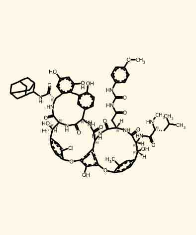 CN[C@H](CC(C)C)C(=O)N[C@H]1C(=O)N[C@@H](CC(=O)NC(=O)Nc2ccc(OC)cc2)C(=O)N[C@H]2C(=O)N[C@H]3C(=O)N[C@H](C(=O)N[C@H](C(=O)NC4C5CC6CC(C5)CC4C6)c4cc(O)cc(O)c4-c4cc3ccc4O)[C@H](O)c3ccc(c(Cl)c3)Oc3cc2cc(c3O)Oc2ccc(cc2C)[C@H]1O